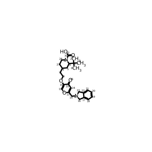 CC(C)(C)C1CC(CCOc2coc(CN3Cc4ccccc4C3)cc2=O)CCN1C(=O)O